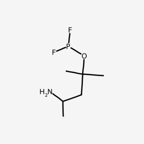 CC(N)CC(C)(C)OP(F)F